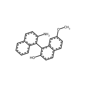 COc1ccc2ccc(O)c(-c3c(N)ccc4ccccc34)c2c1